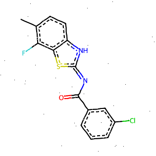 Cc1ccc2[nH]/c(=N/C(=O)c3cccc(Cl)c3)sc2c1F